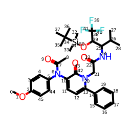 COc1ccc(N(C(C)=O)c2ccc(-c3ccccc3)n(CC(=O)NC(C(C)C)C(O[Si](C)(C)C(C)(C)C)C(F)(F)F)c2=O)cc1